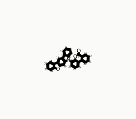 O=c1oc2c(-n3c4ccccc4c4cc5c(cc43)oc3ccccc35)cccc2c2ccccc12